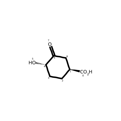 O=C(O)[C@H]1CC[C@H](O)C(=O)C1